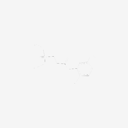 CCCOP(=O)(CCC(=O)Oc1cc(C)ccc1C(C)(C)C)OCCC